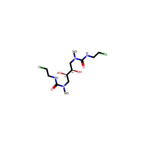 O=NN(C[C@@H](O)[C@H](O)CN(N=O)C(=O)NCCCl)C(=O)NCCCl